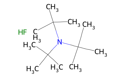 CC(C)(C)N(C(C)(C)C)C(C)(C)C.F